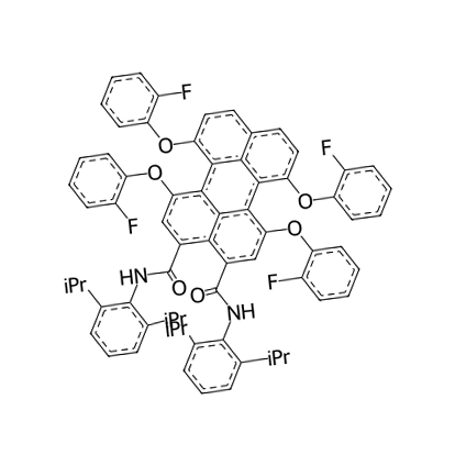 CC(C)c1cccc(C(C)C)c1NC(=O)c1cc(Oc2ccccc2F)c2c3c(Oc4ccccc4F)ccc4ccc(Oc5ccccc5F)c(c5c(Oc6ccccc6F)cc(C(=O)Nc6c(C(C)C)cccc6C(C)C)c1c25)c43